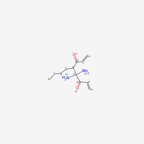 C=CC(=O)C(CCCC)C(N)(N)C(=O)C=C